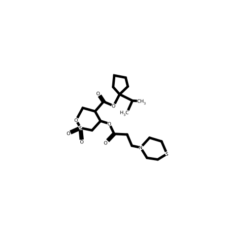 CC(C)C1(OC(=O)C2COS(=O)(=O)CC2OC(=O)CCN2CCSCC2)CCCC1